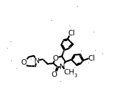 CN1C(=O)C(CCN2CCOCC2)OC(c2ccc(Cl)cc2)C1c1ccc(Cl)cc1